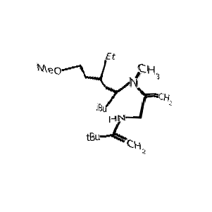 C=C(CNC(=C)C(C)(C)C)N(C)C(C(C)CC)C(CC)CCOC